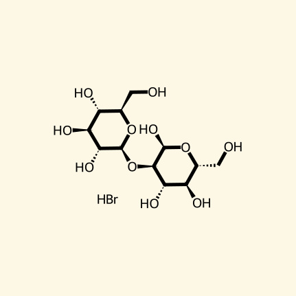 Br.OC[C@H]1O[C@@H](O[C@@H]2[C@@H](O)[C@H](O)[C@@H](CO)O[C@@H]2O)[C@H](O)[C@@H](O)[C@@H]1O